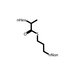 CCCCCCCCCCCCSC(=O)C(C)CCCCCC